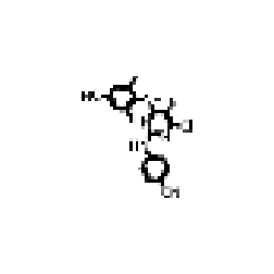 Cc1cc(C#N)cc(C)c1Nc1nc(Nc2ccc(C#N)cc2)nc(Cl)c1Br